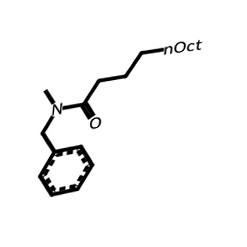 CCCCCCCCCCCC(=O)N(C)Cc1ccccc1